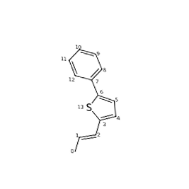 CC=Cc1ccc(-c2ccccc2)s1